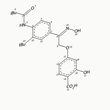 CCC(C)C(=O)Nc1ccc(C(COc2ccc(C(=O)O)c(O)c2)=NO)cc1C(C)(C)C